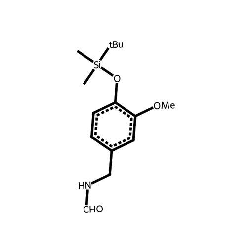 COc1cc(CNC=O)ccc1O[Si](C)(C)C(C)(C)C